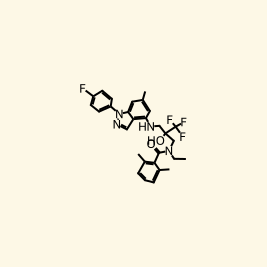 CCN(CC(O)(CNc1cc(C)cc2c1cnn2-c1ccc(F)cc1)C(F)(F)F)C(=O)c1c(C)cccc1C